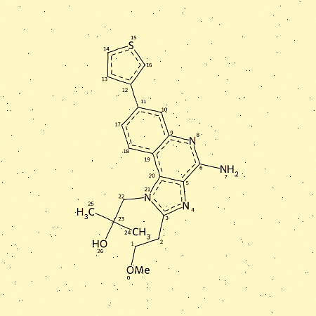 COCCc1nc2c(N)nc3cc(-c4ccsc4)ccc3c2n1CC(C)(C)O